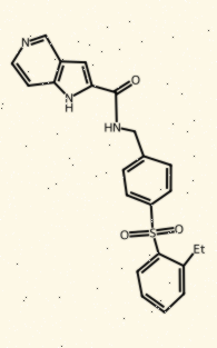 CCc1ccccc1S(=O)(=O)c1ccc(CNC(=O)c2cc3cnccc3[nH]2)cc1